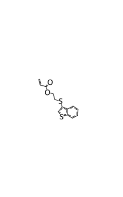 C=CC(=O)OCCSc1csc2ccccc12